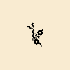 CCCN(CCC)CCCCc1nc2ccc(CCl)cc2n1S(=O)(=O)c1ccc(C)cc1